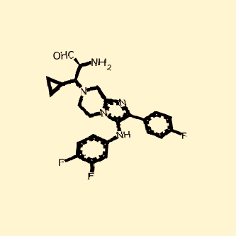 N[C@H](C=O)C(C1CC1)N1CCn2c(nc(-c3ccc(F)cc3)c2Nc2ccc(F)c(F)c2)C1